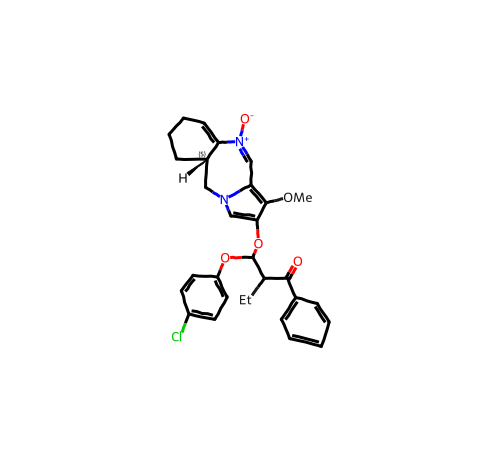 CCC(C(=O)c1ccccc1)C(Oc1ccc(Cl)cc1)Oc1cn2c(c1OC)C=[N+]([O-])C1=CCCC[C@H]1C2